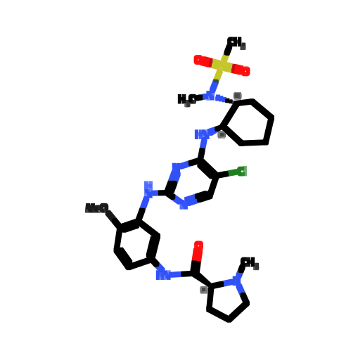 COc1ccc(NC(=O)[C@@H]2CCCN2C)cc1Nc1ncc(Cl)c(N[C@@H]2CCCC[C@H]2N(C)S(C)(=O)=O)n1